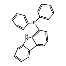 c1ccc(P(c2ccccc2)c2cccc3c2[nH]c2ccccc23)cc1